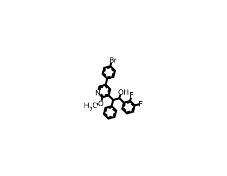 COc1ncc(-c2ccc(Br)cc2)cc1C(c1ccccc1)C(O)c1cccc(F)c1F